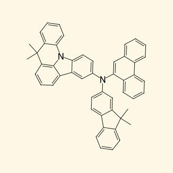 CC1(C)c2ccccc2-c2ccc(N(c3ccc4c(c3)c3cccc5c3n4-c3ccccc3C5(C)C)c3cc4ccccc4c4ccccc34)cc21